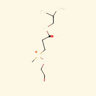 CCCCC(CC)COC(=O)CCP(C)(=O)OCCO